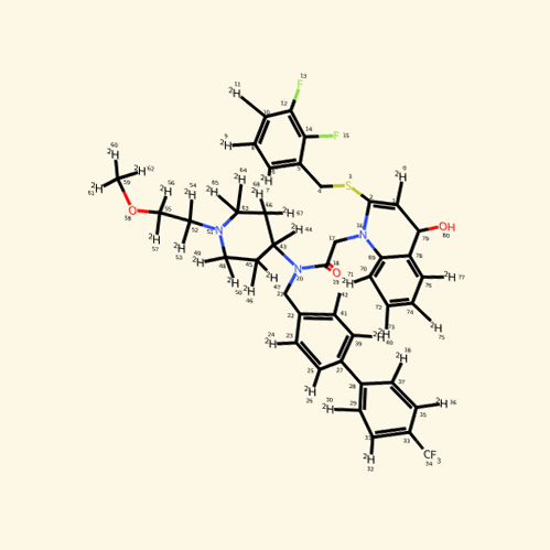 [2H]C1=C(SCc2c([2H])c([2H])c([2H])c(F)c2F)N(CC(=O)N(Cc2c([2H])c([2H])c(-c3c([2H])c([2H])c(C(F)(F)F)c([2H])c3[2H])c([2H])c2C)C2([2H])C([2H])([2H])C([2H])([2H])N(C([2H])([2H])C([2H])([2H])OC([2H])([2H])[2H])C([2H])([2H])C2([2H])[2H])c2c([2H])c([2H])c([2H])c([2H])c2C1O